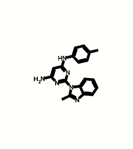 Cc1ccc(Nc2cc(N)nc(-n3c(C)nc4ccccc43)n2)cc1